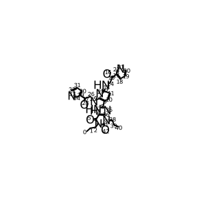 CCCn1c(=O)c2[nH]c(-c3ccc(NCC(=O)c4cccnc4)nc3NCC(=O)c3cccnc3)nc2n(CCC)c1=O